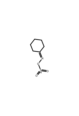 O=[SH](=O)ON=C1CCCCC1